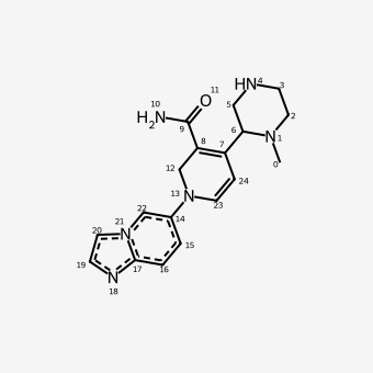 CN1CCNCC1C1=C(C(N)=O)CN(c2ccc3nccn3c2)C=C1